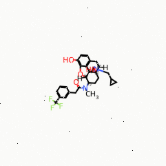 CN(C(=O)Cc1cccc(C(F)(F)F)c1)[C@@H]1CC[C@@]2(O)[C@H]3Cc4ccc(O)c5c4[C@@]2(CCN3CC2CC2)[C@H]1O5